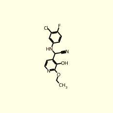 CCOc1nccc(C(C#N)Nc2ccc(F)c(Cl)c2)c1O